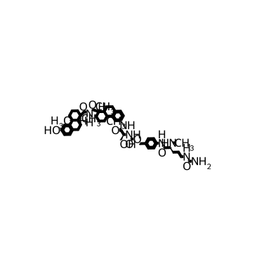 CN[C@@H](CCCNC(N)=O)C(=O)Nc1ccc(COC(=O)N[C@@H](CO)C(=O)Nc2ccc3c(c2)[C@@]2(C)CCC[C@](C)(C(=O)NC(=O)[C@@]4(C)CCC[C@]5(C)c6cc(O)ccc6CC[C@@H]45)[C@@H]2CC3)cc1